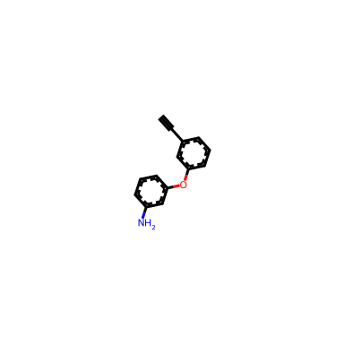 C#Cc1cccc(Oc2cccc(N)c2)c1